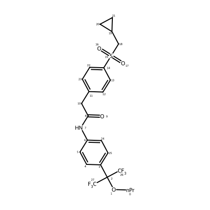 CCCOC(c1ccc(NC(=O)Cc2ccc(S(=O)(=O)CC3CC3)cc2)cc1)(C(F)(F)F)C(F)(F)F